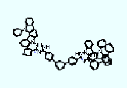 N=C(/N=C(\Nn1c2ccccc2c2c1ccc1c3ccccc3n(-c3ccccc3)c12)c1ccccc1)c1ccc(-c2cccc(-c3ccc(/C(=N/C(=N)c4cccc(-c5cccc(-c6ccccc6)c5)c4)Nn4c5ccccc5c5c4ccc4c6ccccc6n(-c6ccccc6)c45)cc3)c2)cc1